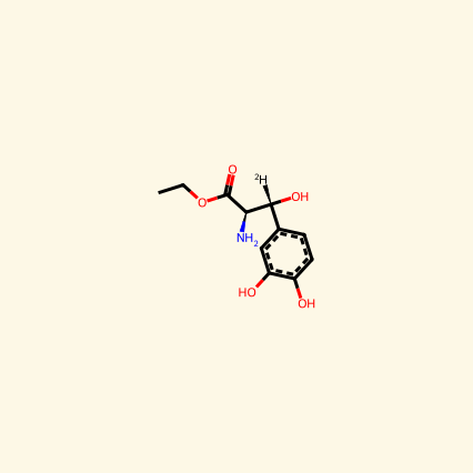 [2H][C@@](O)(c1ccc(O)c(O)c1)[C@@H](N)C(=O)OCC